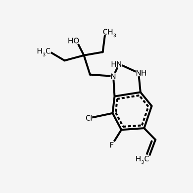 C=Cc1cc2c(c(Cl)c1F)N(CC(O)(CC)CC)NN2